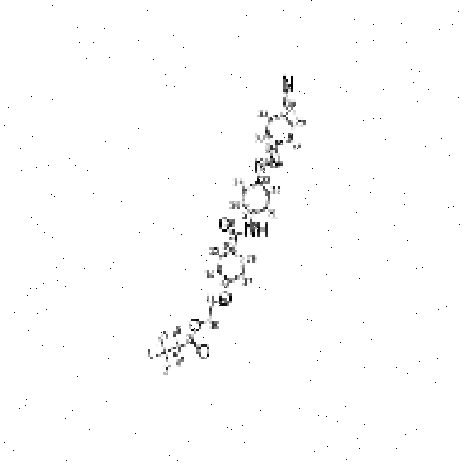 CC(C)(C)C(C)(C)C(=O)OCCOc1ccc(C(=O)Nc2ccc(/N=N/c3ccc(C#N)cc3)cc2)cc1